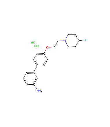 Cl.Cl.Nc1cccc(-c2ccc(OCCN3CCC(F)CC3)cc2)c1